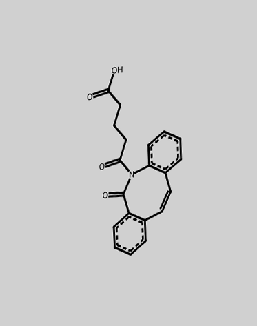 O=C(O)CCCC(=O)N1C(=O)c2ccccc2/C=C\c2ccccc21